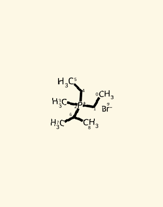 CC[P+](C)(CC)C(C)C.[Br-]